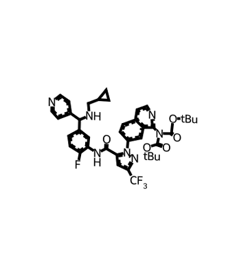 CC(C)(C)OC(=O)N(C(=O)OC(C)(C)C)c1nccc2ccc(-n3nc(C(F)(F)F)cc3C(=O)Nc3cc(C(NCC4CC4)c4ccncc4)ccc3F)cc12